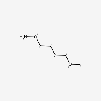 COCCCCON